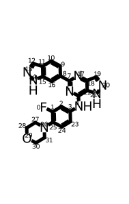 Fc1cc(Nc2nc(-c3ccc4cn[nH]c4c3)nc3cn[nH]c23)ccc1N1CCOCC1